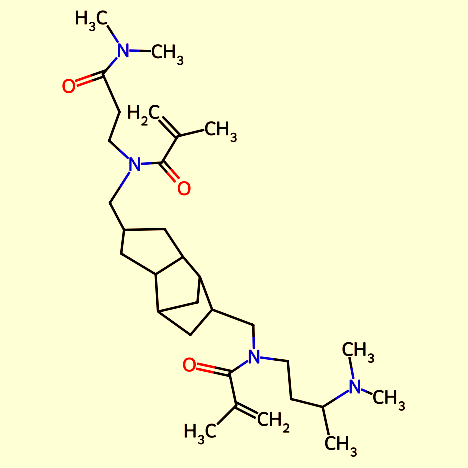 C=C(C)C(=O)N(CCC(=O)N(C)C)CC1CC2C3CC(CN(CCC(C)N(C)C)C(=O)C(=C)C)C(C3)C2C1